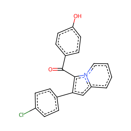 O=C(c1ccc(O)cc1)c1c(-c2ccc(Cl)cc2)cc2ccccn12